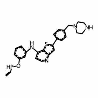 C=CPOc1cccc(Nc2ccnc3cc(-c4ccc(CN5CCNCC5)cc4)sc23)c1